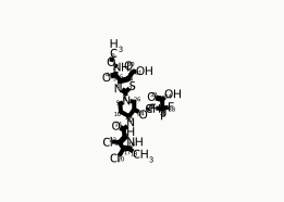 CONC(=O)c1nc(N2CCC(NC(=O)c3[nH]c(C)c(Cl)c3Cl)C(OC)C2)sc1C(=O)O.O=C(O)C(F)(F)F